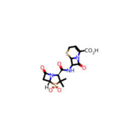 CC1(C)[C@H](C(=O)NC2C(=O)N3C(C(=O)O)=CCSC23)N2C(=O)C[C@H]2S1(=O)=O